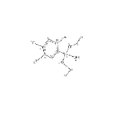 CCO[Si](O)(OCC)c1cc(F)c(F)cc1F